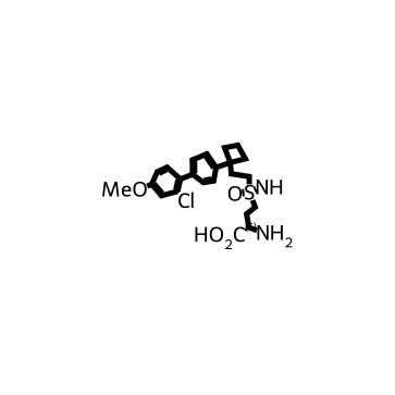 COc1ccc(-c2ccc(C3(CCS(=N)(=O)CC[C@H](N)C(=O)O)CCC3)cc2)c(Cl)c1